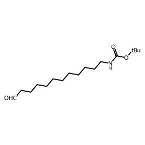 CC(C)(C)OC(=O)NCCCCCCCCCCCC=O